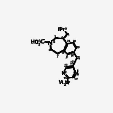 CC(C)CC1CN(C(=O)O)CCc2cc(Cc3cnc(N)cn3)ccc21